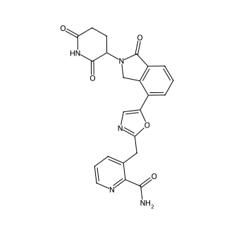 NC(=O)c1ncccc1Cc1ncc(-c2cccc3c2CN(C2CCC(=O)NC2=O)C3=O)o1